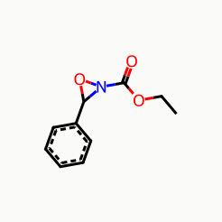 CCOC(=O)N1OC1c1ccccc1